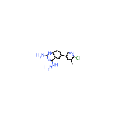 Cc1cc(-c2ccc3nc(N)nc(NN)c3c2)cnc1Cl